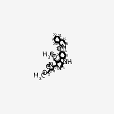 COCc1cc(-c2ncc3[nH]c4ccc(Oc5nccc6ccccc56)cc4c3c2COC)no1